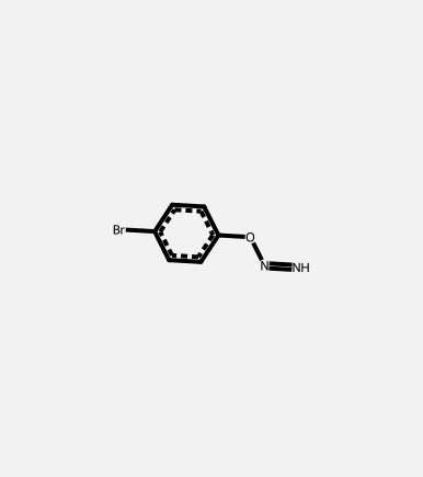 N=NOc1ccc(Br)cc1